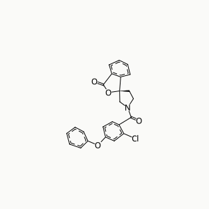 O=C1O[C@]2(CCN(C(=O)c3ccc(Oc4ccccc4)cc3Cl)C2)c2ccccc21